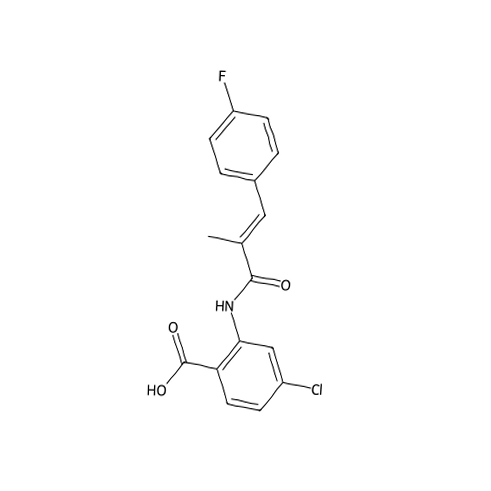 C/C(=C\c1ccc(F)cc1)C(=O)Nc1cc(Cl)ccc1C(=O)O